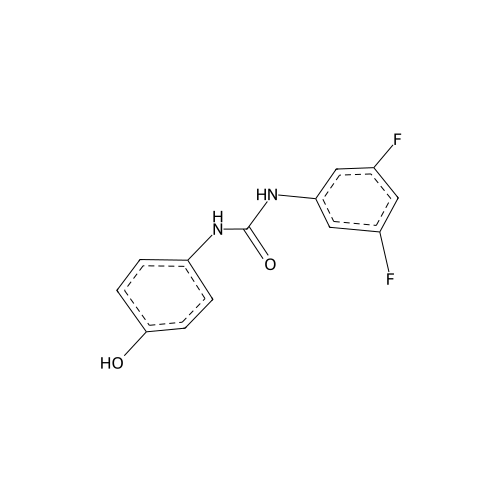 O=C(Nc1ccc(O)cc1)Nc1cc(F)cc(F)c1